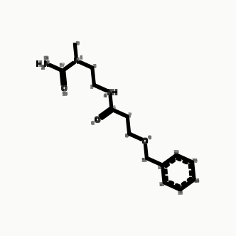 CN(CCNC(=O)[CH]COCc1ccccc1)C(N)=O